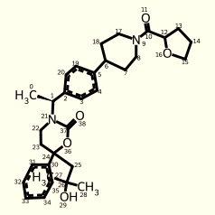 C[C@@H](c1ccc(C2CCN(C(=O)C3CCCO3)CC2)cc1)N1CCC(CC(C)(C)O)(c2ccccc2)OC1=O